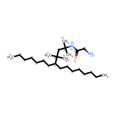 CCCCCCCCC(CCCCCCC)C(C)(C)CC(C)(C)NC(=O)CN